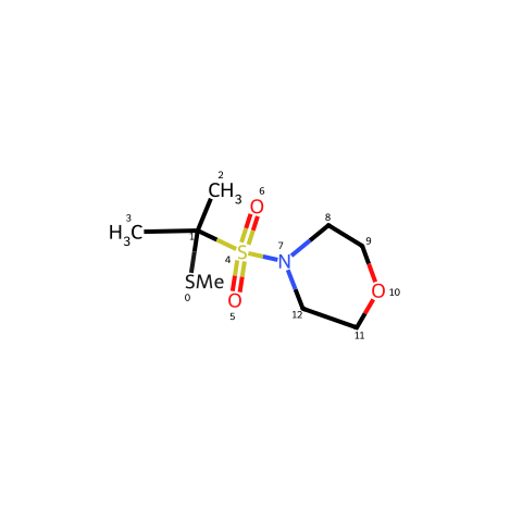 CSC(C)(C)S(=O)(=O)N1CCOCC1